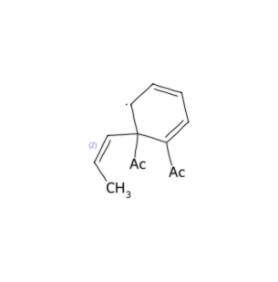 C/C=C\C1(C(C)=O)[CH]C=CC=C1C(C)=O